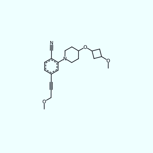 COCC#Cc1ccc(C#N)c(N2CCC(OC3CC(OC)C3)CC2)c1